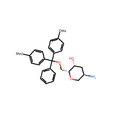 COc1ccc(C(OC[C@H]2OC[C@H](N)C[C@H]2O)(c2ccccc2)c2ccc(OC)cc2)cc1